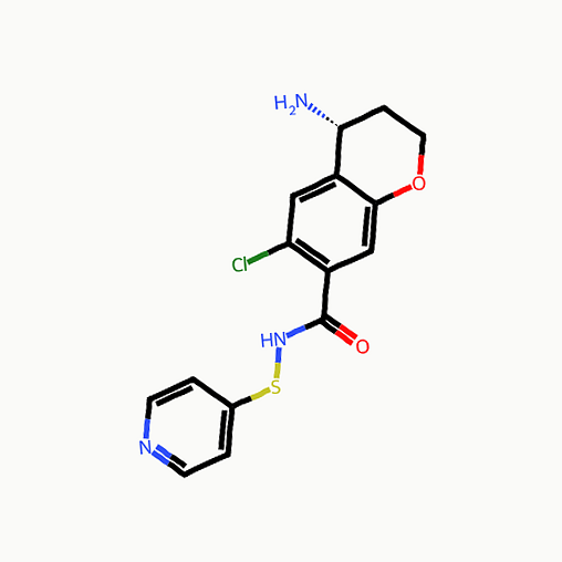 N[C@@H]1CCOc2cc(C(=O)NSc3ccncc3)c(Cl)cc21